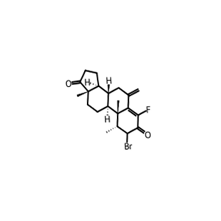 C=C1C[C@@H]2[C@H](CC[C@]3(C)C(=O)CC[C@@H]23)[C@]2(C)C1=C(F)C(=O)C(Br)[C@@H]2C